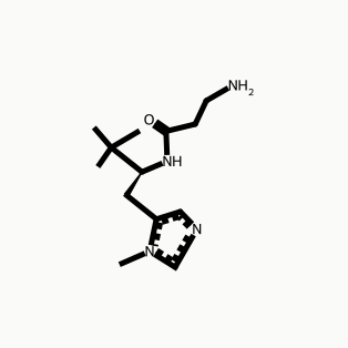 Cn1cncc1C[C@H](NC(=O)CCN)C(C)(C)C